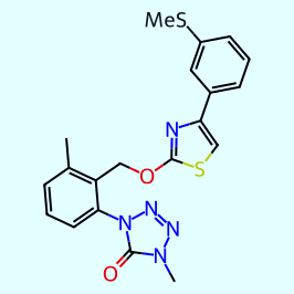 CSc1cccc(-c2csc(OCc3c(C)cccc3-n3nnn(C)c3=O)n2)c1